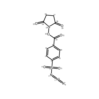 [N-]=[N+]=NS(=O)(=O)c1ccc(C(=O)ON2C(=O)CCC2=O)cc1